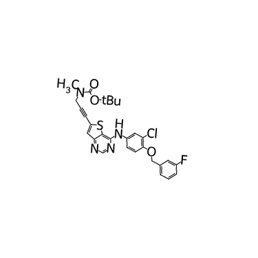 CN(CC#Cc1cc2ncnc(Nc3ccc(OCc4cccc(F)c4)c(Cl)c3)c2s1)C(=O)OC(C)(C)C